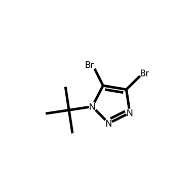 CC(C)(C)n1nnc(Br)c1Br